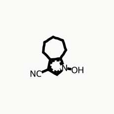 N#Cc1cn(O)c2c1CCCCC2